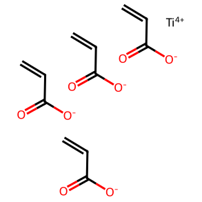 C=CC(=O)[O-].C=CC(=O)[O-].C=CC(=O)[O-].C=CC(=O)[O-].[Ti+4]